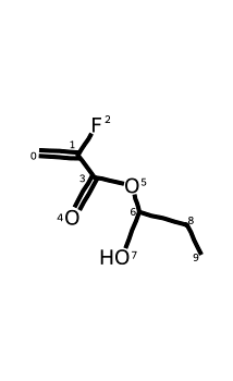 C=C(F)C(=O)OC(O)CC